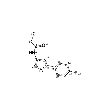 O=C(CCl)Nc1nnc(-c2ccc(F)cc2)s1